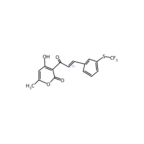 Cc1cc(O)c(C(=O)/C=C/c2cccc(SC(F)(F)F)c2)c(=O)o1